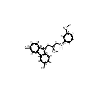 COc1cccc(NCC(O)Cn2c3ccc(C)cc3c3cc(C)ccc32)c1